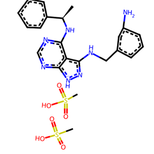 CS(=O)(=O)O.CS(=O)(=O)O.C[C@@H](Nc1ncnc2[nH]nc(NCc3cccc(N)c3)c12)c1ccccc1